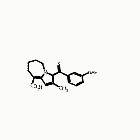 CCCc1cccc(C(=S)C2C(C)=CC3=C(C(=O)O)CCCCN32)c1